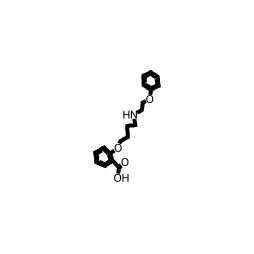 O=C(O)c1ccccc1OCCCCNCCOc1ccccc1